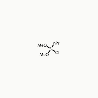 CC[CH][Si](Cl)(OC)OC